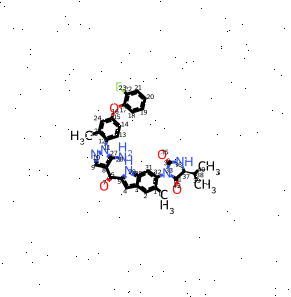 Cc1cc2cc(C(=O)c3cnn(-c4ccc(Oc5ccccc5F)cc4C)c3N)[nH]c2cc1N1C(=O)N[C@@H](C(C)C)C1=O